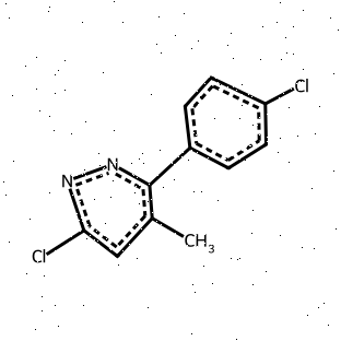 Cc1cc(Cl)nnc1-c1ccc(Cl)cc1